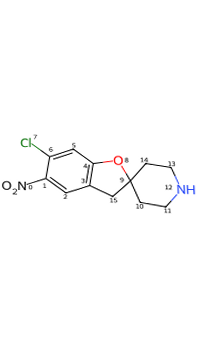 O=[N+]([O-])c1cc2c(cc1Cl)OC1(CCNCC1)C2